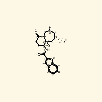 O=C(NC1CCC(=O)N2CNC[C@H](C(=O)O)C[N+]12[O-])c1cc2ccccc2s1